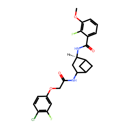 COc1cccc(C(=O)N[C@@H]2CC(NC(=O)COc3ccc(Cl)c(F)c3)C3CC2C3)c1F